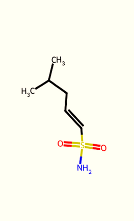 CC(C)CC=CS(N)(=O)=O